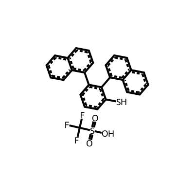 O=S(=O)(O)C(F)(F)F.Sc1cccc(-c2cccc3ccccc23)c1-c1cccc2ccccc12